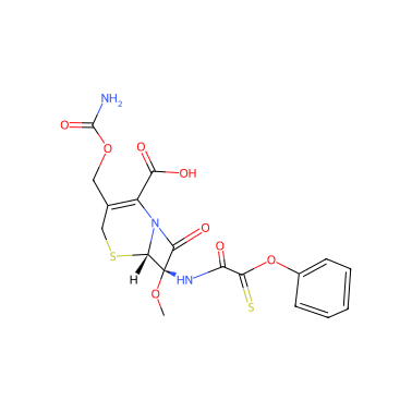 CO[C@@]1(NC(=O)C(=S)Oc2ccccc2)C(=O)N2C(C(=O)O)=C(COC(N)=O)CS[C@H]21